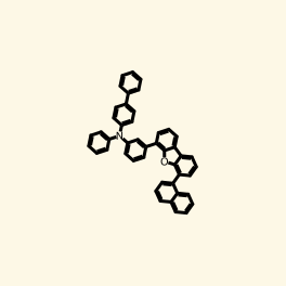 c1ccc(-c2ccc(N(c3ccccc3)c3cccc(-c4cccc5c4oc4c(-c6cccc7ccccc67)cccc45)c3)cc2)cc1